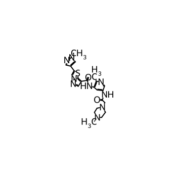 Cc1ncc(NC(=O)CN2CCN(C)CC2)cc1NC(=O)c1cnn2cc(-c3cnn(C)c3)sc12